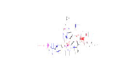 C=Cc1cc(C(=O)Nc2ccc(C(=N)NO)cc2)c(-c2c(C(C)OC(=O)OC(C)C)cc(C(=O)NCC3CC3)nc2C(=O)O)cc1OC